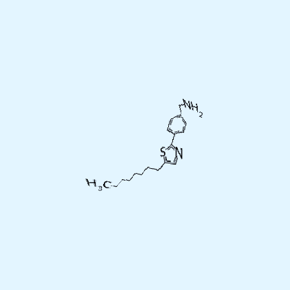 CCCCCCCCc1cnc(-c2ccc(CN)cc2)s1